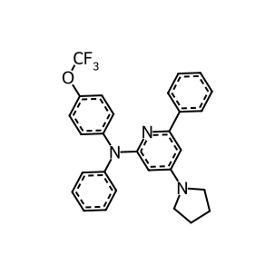 FC(F)(F)Oc1ccc(N(c2ccccc2)c2cc(N3CCCC3)cc(-c3ccccc3)n2)cc1